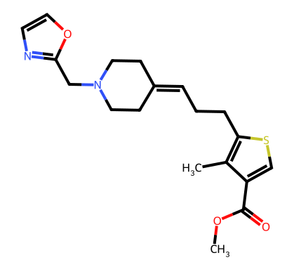 COC(=O)c1csc(CCC=C2CCN(Cc3ncco3)CC2)c1C